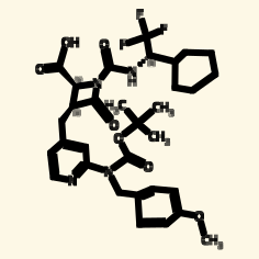 COc1ccc(CN(C(=O)OC(C)(C)C)c2cc(C[C@@H]3C(=O)N(C(=O)N[C@@H](C4CCCCC4)C(F)(F)F)[C@@H]3C(=O)O)ccn2)cc1